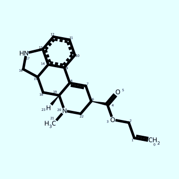 C=CCOC(=O)[C@@H]1C=C2c3cccc4c3C(CN4)C[C@H]2N(C)C1